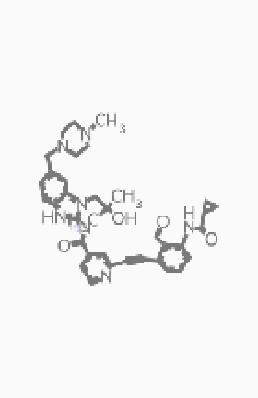 CN1CCN(Cc2ccc3[nH]/c(=N\C(=O)c4ccnc(C#Cc5cccc(NC(=O)C6CC6)c5C=O)c4)n(CC(C)(C)O)c3c2)CC1